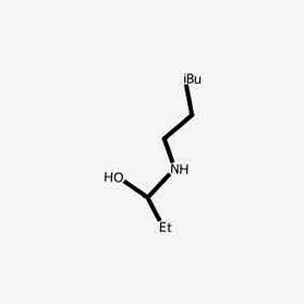 CC[C](O)NCCC(C)CC